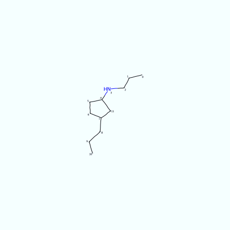 CCCNC1CCC(CCC)C1